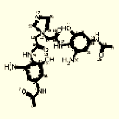 CC(=O)Nc1cc(N)c(NC(=O)C[N+]2(CC(=O)Nc3c(N)cc(NC(C)=O)cc3O)C=C[N+]=C2)c(O)c1